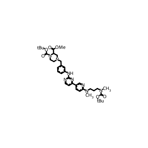 COC(=O)C1CN(Cc2cccc(Nc3nccc(-c4ccc(N(C)CCCN(C)C(=O)OC(C)(C)C)nc4)n3)c2)CCN1C(=O)OC(C)(C)C